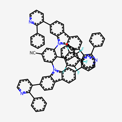 N#Cc1cc(-n2c3cc(-c4cccnc4-c4ccccc4)ccc3c3ccc(-c4cccnc4-c4ccccc4)cc32)c(-c2c(F)c(F)c(F)c(F)c2F)c(-n2c3cc(-c4cccnc4-c4ccccc4)ccc3c3ccc(-c4cccnc4-c4ccccc4)cc32)c1